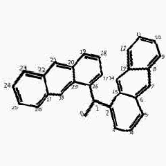 CC(c1cccc2cc3ccccc3cc12)c1cccc2cc3ccccc3cc12